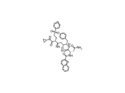 N=C(CC(O)C(Cc1ccccc1)NC(=O)[C@H](CC(N)=O)NC(=O)c1ccc2ccccc2n1)[C@H](CCS(=O)(=O)c1ccncc1)C(=O)NC1CC1